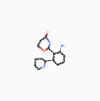 Nc1cccc(-c2ccccn2)c1-c1nc(=O)cco1